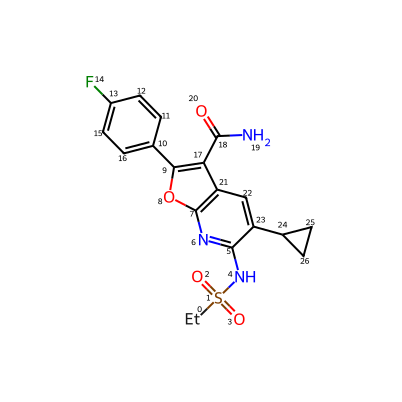 CCS(=O)(=O)Nc1nc2oc(-c3ccc(F)cc3)c(C(N)=O)c2cc1C1CC1